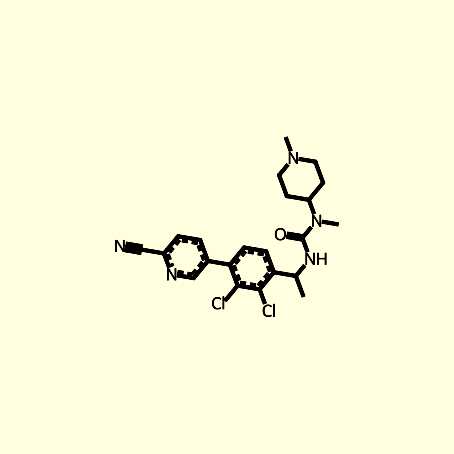 CC(NC(=O)N(C)C1CCN(C)CC1)c1ccc(-c2ccc(C#N)nc2)c(Cl)c1Cl